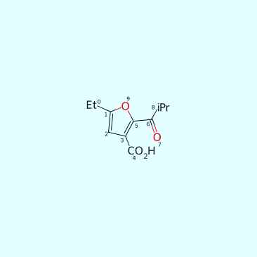 CCc1cc(C(=O)O)c(C(=O)C(C)C)o1